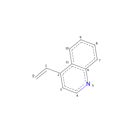 [CH]=Cc1ccnc2ccccc12